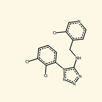 Clc1cnccc1CNc1nnnn1-c1cccc(Cl)c1Cl